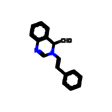 O=CC1c2ccccc2N=CN1C=Cc1ccccc1